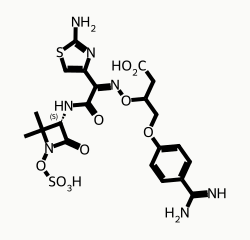 CC1(C)[C@H](NC(=O)C(=NOC(COc2ccc(C(=N)N)cc2)CC(=O)O)c2csc(N)n2)C(=O)N1OS(=O)(=O)O